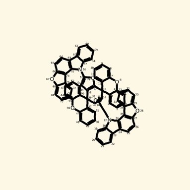 c1ccc2c(c1)Oc1ccccc1C21c2cc(-n3c4ccccc4c4ccc5oc6ccccc6c5c43)oc2C2(c3ccccc3Oc3ccccc32)c2cc(-n3c4ccccc4c4ccc5oc6ccccc6c5c43)oc21